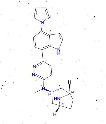 CN(c1ccc(-c2ccc(-n3cccn3)c3cc[nH]c23)nn1)[C@@H]1C[C@H]2CC[C@@H](C1)N2